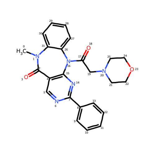 CN1C(=O)c2cnc(-c3ccccc3)nc2N(C(=O)CN2CCOCC2)c2ccccc21